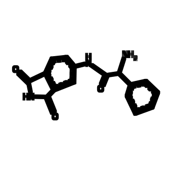 NC(C(=O)Nc1ccc2c(c1)C(=O)NC2=O)c1ccccc1